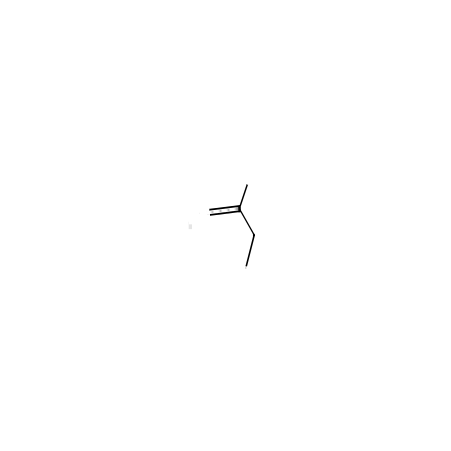 O=C(O)CF.[InH3]